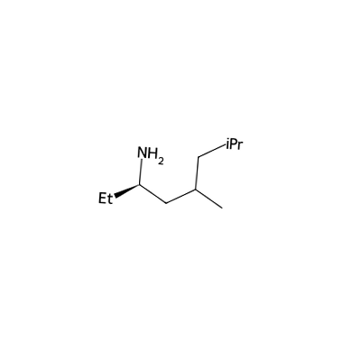 CC[C@@H](N)CC(C)CC(C)C